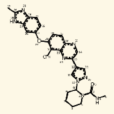 CNC(=O)N1CCCCC1n1cc(-c2cnc3ccc(Oc4ccc5nc(C)[nH]c5c4)c(Cl)c3n2)cn1